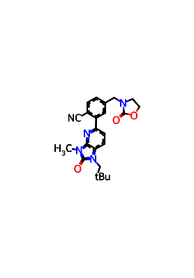 Cn1c(=O)n(CC(C)(C)C)c2ccc(-c3cc(CN4CCOC4=O)ccc3C#N)nc21